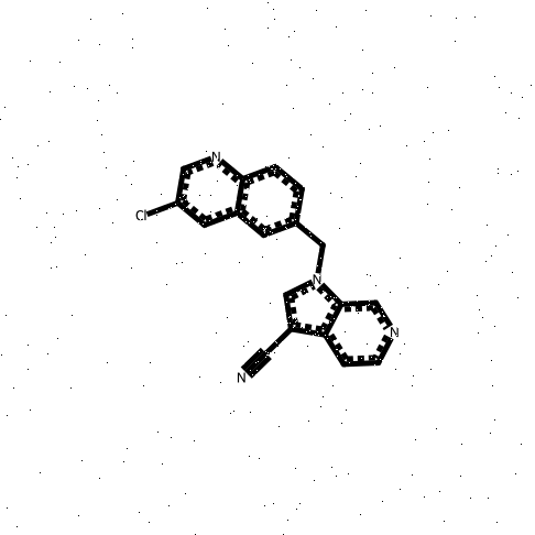 N#Cc1cn(Cc2ccc3ncc(Cl)cc3c2)c2cnccc12